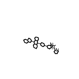 Cc1nc2cc(-c3ccc(-c4c5ccccc5c(-c5ccc6ccccc6c5)c5ccccc45)cc3)ccc2n1-c1ccccn1